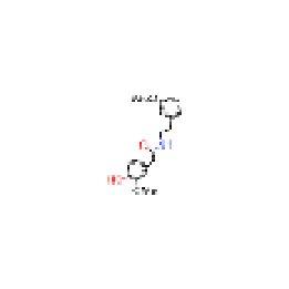 COc1cccc(CCNC(=O)Cc2ccc(O)c(OC)c2)c1